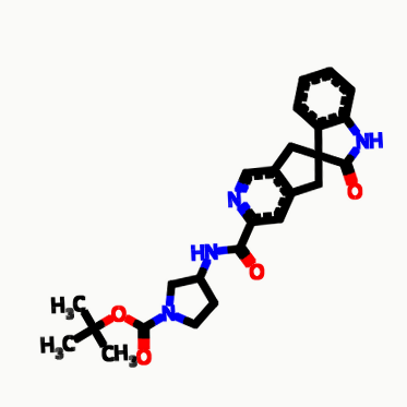 CC(C)(C)OC(=O)N1CCC(NC(=O)c2cc3c(cn2)CC2(C3)C(=O)Nc3ccccc32)C1